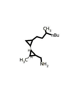 CCCCC(C)CCC1CC1[C@@H]1C(CN)[C@@H]1C